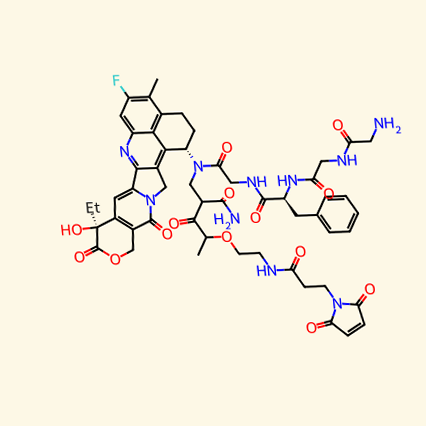 CC[C@@]1(O)C(=O)OCc2c1cc1n(c2=O)Cc2c-1nc1cc(F)c(C)c3c1c2[C@@H](N(CC(C(N)=O)C(=O)C(C)OCCNC(=O)CCN1C(=O)C=CC1=O)C(=O)CNC(=O)[C@H](Cc1ccccc1)NC(=O)CNC(=O)CN)CC3